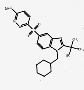 COc1ccc(S(=O)(=O)c2ccc3c(c2)nc(C(C)(C)C#N)n3CC2CCCCC2)nn1